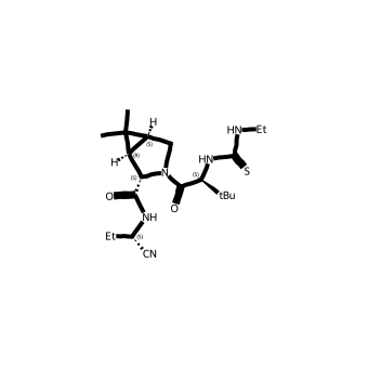 CCNC(=S)N[C@H](C(=O)N1C[C@H]2[C@@H]([C@H]1C(=O)N[C@H](C#N)CC)C2(C)C)C(C)(C)C